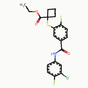 CCOC(=O)C1(Sc2cc(C(=O)Nc3ccc(F)c(Cl)c3)ccc2F)CCC1